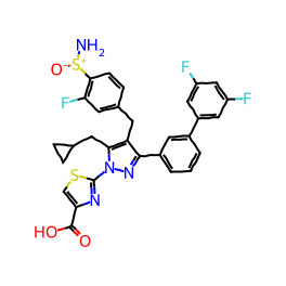 N[S+]([O-])c1ccc(Cc2c(-c3cccc(-c4cc(F)cc(F)c4)c3)nn(-c3nc(C(=O)O)cs3)c2CC2CC2)cc1F